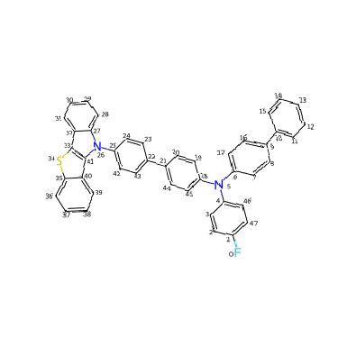 Fc1ccc(N(c2ccc(-c3ccccc3)cc2)c2ccc(-c3ccc(-n4c5ccccc5c5sc6ccccc6c54)cc3)cc2)cc1